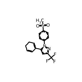 CS(=O)(=O)c1ccc(-n2nc(C(F)(F)F)cc2C2=CCCC=C2)cc1